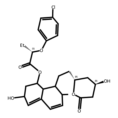 CC[C@H](Oc1ccc(Cl)cc1)C(=O)OC1CC(O)C=C2C=CC(C)C(CC[C@@H]3C[C@@H](O)CC(=O)O3)C21